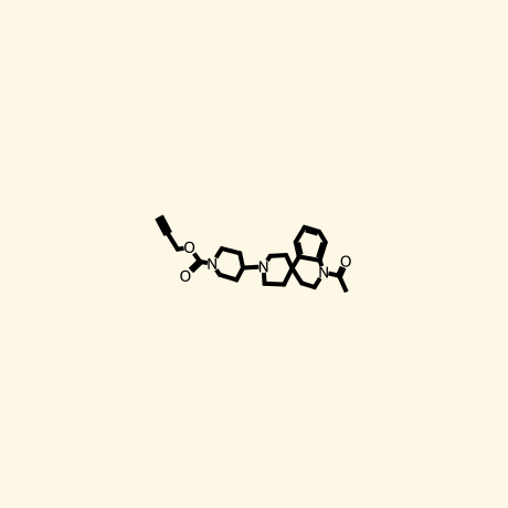 C#CCOC(=O)N1CCC(N2CCC3(CCN(C(C)=O)c4ccccc43)CC2)CC1